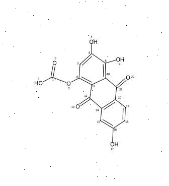 O=C(O)Oc1cc(O)c(O)c2c1C(=O)c1cc(O)ccc1C2=O